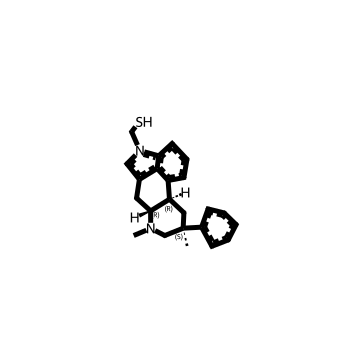 CN1C[C@](C)(c2ccccc2)C[C@@H]2c3cccc4c3c(cn4CS)C[C@H]21